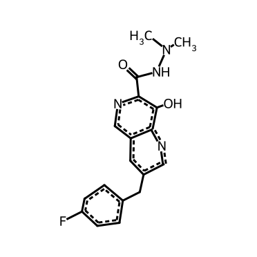 CN(C)NC(=O)c1ncc2cc(Cc3ccc(F)cc3)cnc2c1O